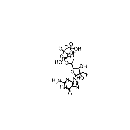 C[C@H](OP(=O)(O)OP(=O)(O)OP(=O)(O)O)[C@H]1O[C@@H](n2cnc3c(=O)[nH]c(N)nc32)[C@@](O)(CF)C1O